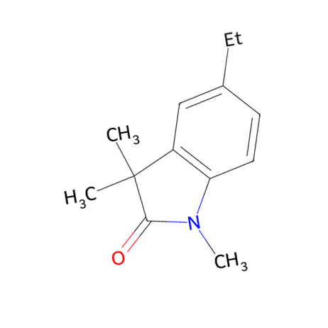 CCc1ccc2c(c1)C(C)(C)C(=O)N2C